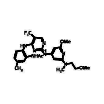 COCCN(C)c1cc(Nc2ncc(C(F)(F)F)c(Nc3ccc(C)cc3NC(C)=O)n2)cc(OC)n1